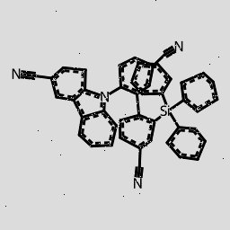 N#Cc1ccc(-n2c3ccccc3c3cc(C#N)ccc32)c(-c2ccc(C#N)cc2[Si](c2ccccc2)(c2ccccc2)c2ccccc2)c1